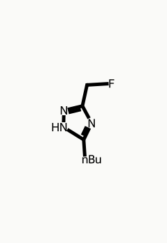 CCCCc1nc(CF)n[nH]1